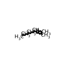 CC(C)=CCC/C(C)=C/CCC(C)c1cc2cc(C)c(C)cc2o1